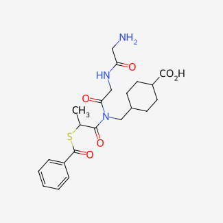 CC(SC(=O)c1ccccc1)C(=O)N(CC1CCC(C(=O)O)CC1)C(=O)CNC(=O)CN